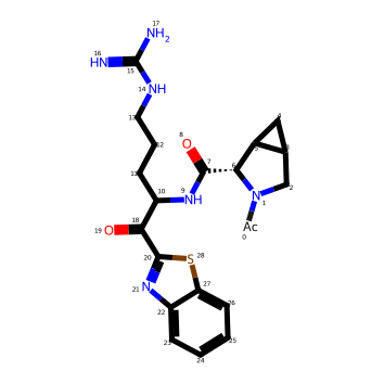 CC(=O)N1CC2CC2[C@H]1C(=O)NC(CCCNC(=N)N)C(=O)c1nc2ccccc2s1